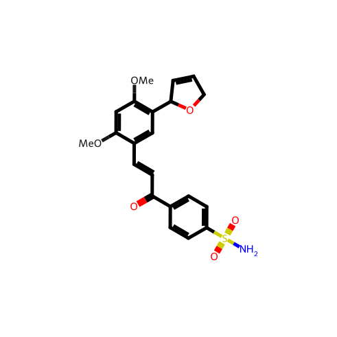 COc1cc(OC)c(C2C=CCO2)cc1C=CC(=O)c1ccc(S(N)(=O)=O)cc1